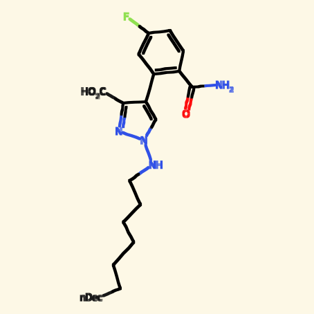 CCCCCCCCCCCCCCCCNn1cc(-c2cc(F)ccc2C(N)=O)c(C(=O)O)n1